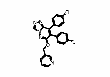 Clc1ccc(-c2c(OCc3cccnc3)nn3cnnc3c2-c2ccc(Cl)cc2)cc1